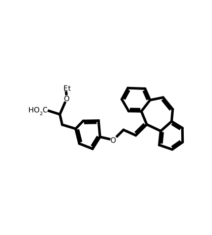 CCOC(Cc1ccc(OCC=C2c3ccccc3C=Cc3ccccc32)cc1)C(=O)O